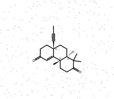 CC#C[C@]12CCC(=O)C=C1[C@@]1(C)CCC(=O)C(C)(C)[C@@H]1CC2